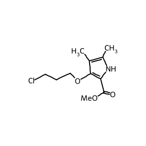 COC(=O)c1[nH]c(C)c(C)c1OCCCCl